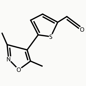 Cc1noc(C)c1-c1ccc(C=O)s1